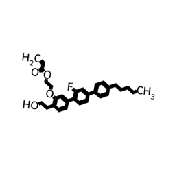 C=CC(=O)OCCOc1cc(-c2ccc(-c3ccc(CCCCC)cc3)cc2F)ccc1CCO